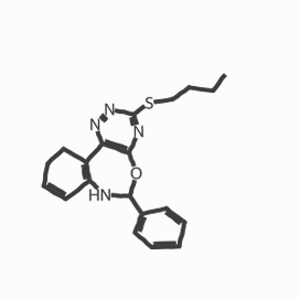 CCCCSc1nnc2c(n1)OC(c1ccccc1)NC1=C2CCC=C1